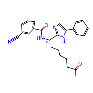 CC(=O)CCCCC[C@H](NC(=O)c1cccc(C#N)c1)c1ncc(-c2ccccc2)[nH]1